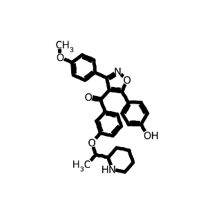 COc1ccc(-c2noc(-c3ccc(O)cc3)c2C(=O)c2cccc(OC(C)C3CCCCN3)c2)cc1